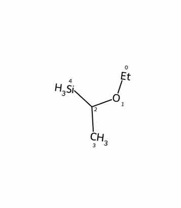 CCOC(C)[SiH3]